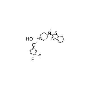 CN(c1nc2ccccc2s1)C1CCN([C@@H](CO)COc2ccc(F)c(F)c2)CC1